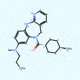 COCCN(C)c1ccc2c(c1)N(C(=O)[C@H]1CC[C@H](OC)CC1)Cc1cccnc1N2